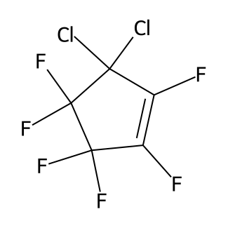 FC1=C(F)C(Cl)(Cl)C(F)(F)C1(F)F